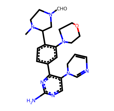 CN1CCN(C=O)CC1c1ccc(-c2nc(N)ncc2N2C=NC=CC2)cc1N1CCOCC1